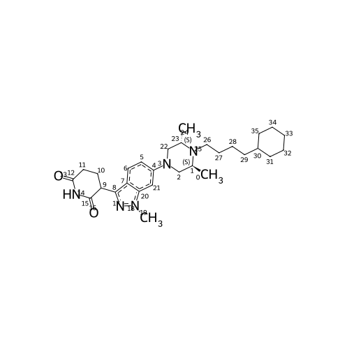 C[C@H]1CN(c2ccc3c(C4CCC(=O)NC4=O)nn(C)c3c2)C[C@H](C)N1CCCCC1CCCCC1